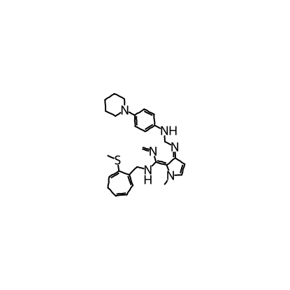 C=N/C(NCC1=CC=CCC=C1SC)=C1\C(=N/CNc2ccc(N3CCCCC3)cc2)C=CN1C